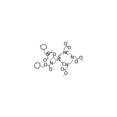 COC(=O)CN1CCN(CC(=O)OC)CCN([C@@H]2CN(C(=O)OCc3ccccc3)[C@H](C(=O)OCc3ccccc3)[C@H]2OC(C)=O)CCN(CC(=O)OC)CC1